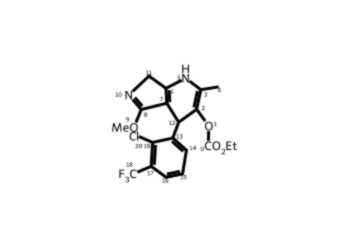 CCOC(=O)OC1=C(C)NC2=C(C(OC)=NC2)C1c1cccc(C(F)(F)F)c1Cl